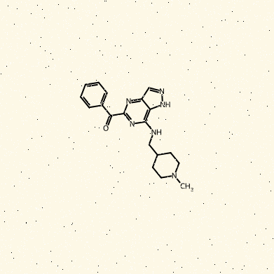 CN1CCC(CNc2nc(C(=O)c3ccccc3)nc3cn[nH]c23)CC1